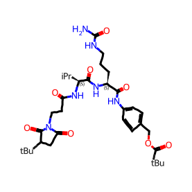 CC(C)[C@H](NC(=O)CCN1C(=O)CC(C(C)(C)C)C1=O)C(=O)N[C@@H](CCCNC(N)=O)C(=O)Nc1ccc(COC(=O)C(C)(C)C)cc1